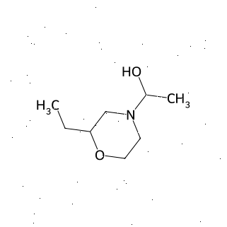 CCC1CN(C(C)O)CCO1